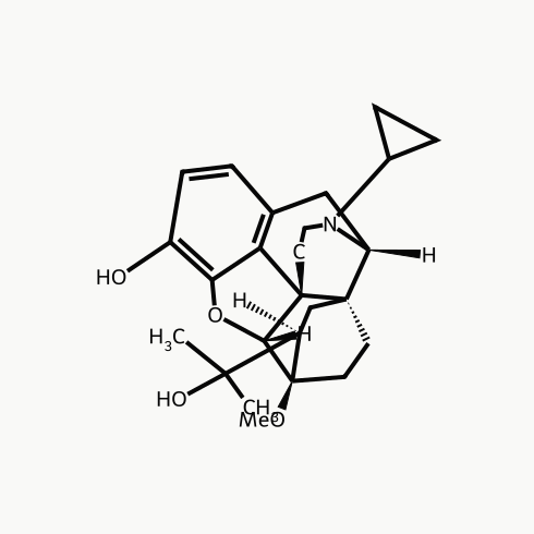 CO[C@]12CC[C@@]3(C[C@@H]1C(C)(C)O)[C@H]1Cc4ccc(O)c5c4[C@@]3(CCN1C1CC1)[C@H]2O5